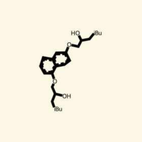 CCC(C)CC(O)COc1ccc2c(OCC(O)CC(C)CC)cccc2c1